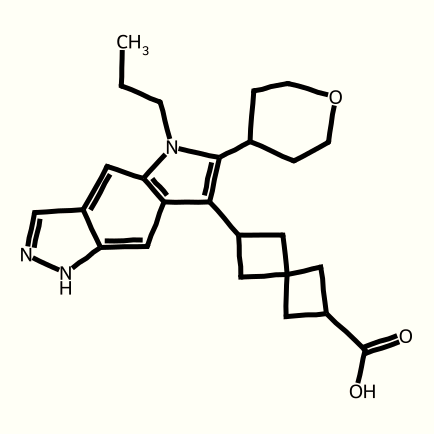 CCCn1c(C2CCOCC2)c(C2CC3(CC(C(=O)O)C3)C2)c2cc3[nH]ncc3cc21